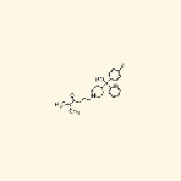 CN(C)C(=O)CCCN1CCC(C(O)(c2ccc(F)cc2)c2ccccn2)CC1